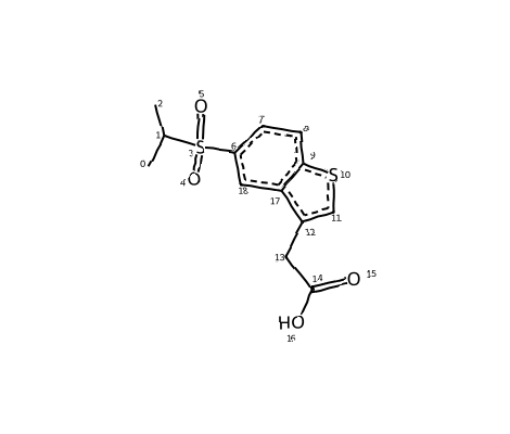 CC(C)S(=O)(=O)c1ccc2scc(CC(=O)O)c2c1